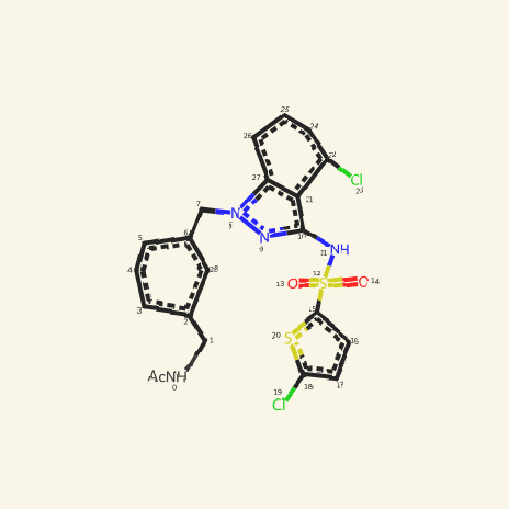 CC(=O)NCc1cccc(Cn2nc(NS(=O)(=O)c3ccc(Cl)s3)c3c(Cl)cccc32)c1